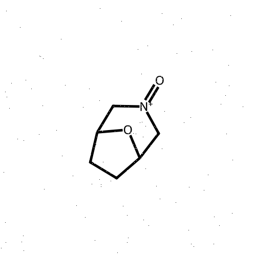 O=[N+]1CC2CCC(C1)O2